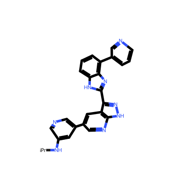 CC(C)Nc1cncc(-c2cnc3[nH]nc(-c4nc5c(-c6cccnc6)cccc5[nH]4)c3c2)c1